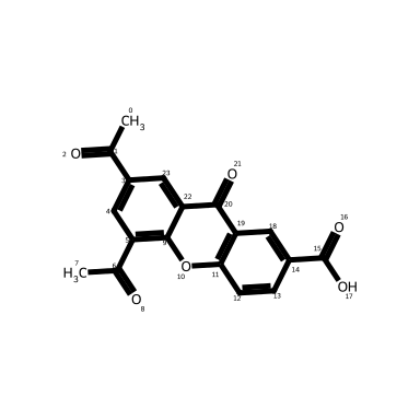 CC(=O)c1cc(C(C)=O)c2oc3ccc(C(=O)O)cc3c(=O)c2c1